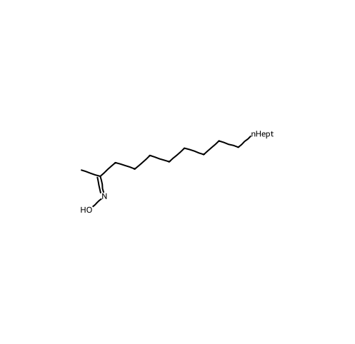 CCCCCCCCCCCCCCCC(C)=NO